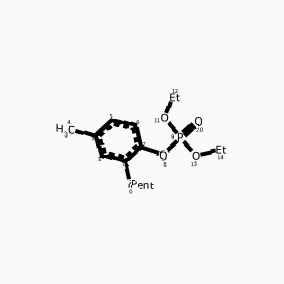 CCCC(C)c1cc(C)ccc1OP(=O)(OCC)OCC